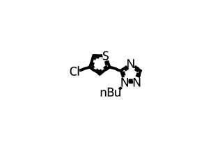 CCCCn1ncnc1-c1cc(Cl)cs1